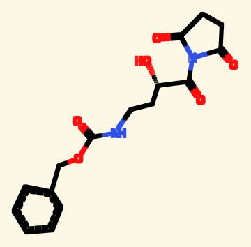 O=C(NCC[C@H](O)C(=O)N1C(=O)CCC1=O)OCc1ccccc1